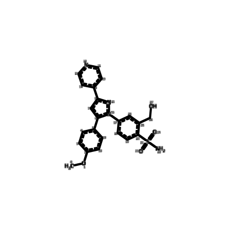 COc1ccc(-c2cc(-c3ccncc3)nn2-c2ccc(S(N)(=O)=O)c(CO)c2)cc1